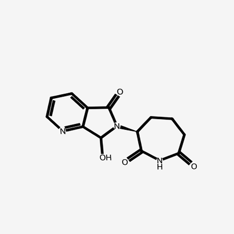 O=C1CCC[C@H](N2C(=O)c3cccnc3C2O)C(=O)N1